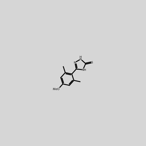 COc1cc(C)c(-c2n[nH]c(=S)[nH]2)c(C)c1